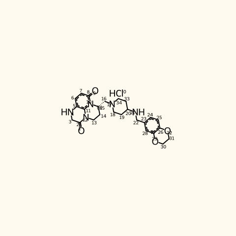 Cl.O=C1CNc2ccc(=O)n3c2N1CC[C@H]3CN1CCC(NCc2ccc3c(c2)OCCO3)CC1